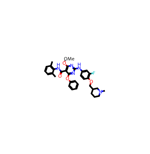 COOc1nc(Nc2ccc(OCC3CCCN(C)C3)c(F)c2)nc(Oc2ccccc2)c1C(=O)Nc1c(C)cccc1C